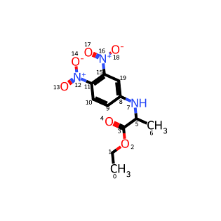 CCOC(=O)C(C)Nc1ccc([N+](=O)[O-])c([N+](=O)[O-])c1